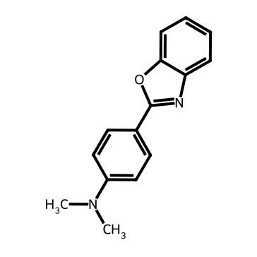 CN(C)c1ccc(-c2nc3ccccc3o2)cc1